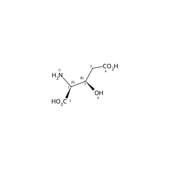 N[C@H](C(=O)O)[C@H](O)CC(=O)O